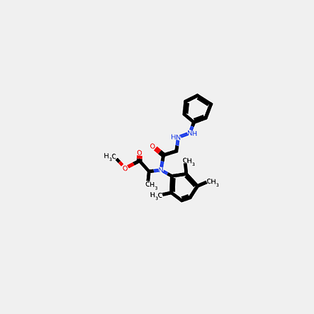 COC(=O)C(C)N(C(=O)CNNc1ccccc1)c1c(C)ccc(C)c1C